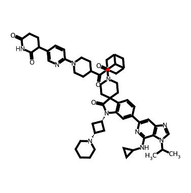 CC(C)n1cnc2cc(-c3ccc4c(c3)N([C@H]3C[C@@H](N5CCCCC5)C3)C(=O)C43CCN(C(=O)C4C5CC4CN(C(=O)C4CCN(c6ccc(C7CCC(=O)NC7=O)cn6)CC4)C5)CC3)nc(NC3CC3)c21